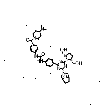 CN(C)C1CCN(C(=O)c2ccc(NC(=O)Nc3ccc(-c4nc(N5CC6CCC(C5)O6)nc(N5[C@H](CO)CC[C@@H]5CO)n4)cc3)cc2)CC1